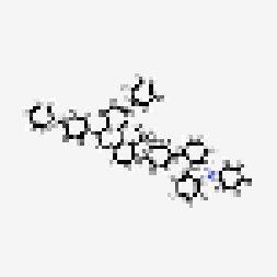 CC1(C)c2cc(CC(c3ccc(-c4ccccc4)cc3)c3ccc(-c4ccccc4)cc3)ccc2-c2ccc(-c3cccc4c3c3ccccc3n4-c3ccccc3)cc21